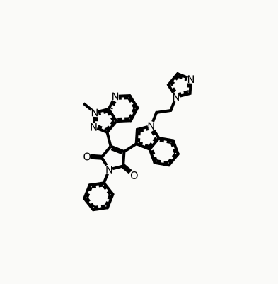 Cn1nc(C2=C(c3cn(CCn4ccnc4)c4ccccc34)C(=O)N(c3ccccc3)C2=O)c2cccnc21